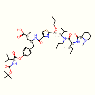 CCCO[C@H](C[C@H](C(C)C)N(CCC)C(=O)[C@@H](NC(=O)[C@H]1CCCCN1C)[C@@H](C)CC)c1nc(C(=O)N[C@@H](Cc2ccc(OC(=O)[C@H](NC(=O)OC(C)(C)C)C(C)C)cc2)C[C@H](C)C(=O)O)cs1